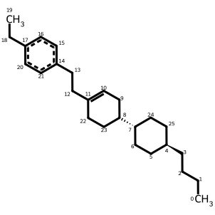 CCCC[C@H]1CC[C@H](C2CC=C(CCc3ccc(CC)cc3)CC2)CC1